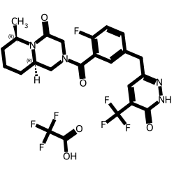 C[C@@H]1CCC[C@@H]2CN(C(=O)c3cc(Cc4cc(C(F)(F)F)c(=O)[nH]n4)ccc3F)CC(=O)N21.O=C(O)C(F)(F)F